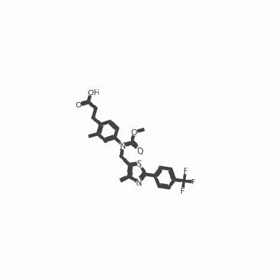 COC(=O)N(Cc1sc(-c2ccc(C(F)(F)F)cc2)nc1C)c1ccc(CCC(=O)O)c(C)c1